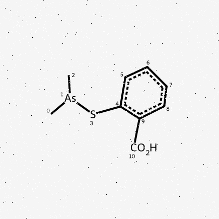 C[As](C)Sc1ccccc1C(=O)O